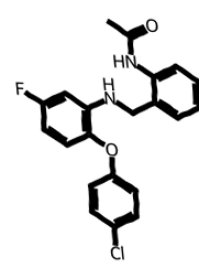 CC(=O)Nc1ccccc1CNc1cc(F)ccc1Oc1ccc(Cl)cc1